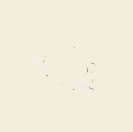 O=C(O)C(F)(F)F.O=C1CN(CCCNC(=O)C2CCN(c3nc4ccccc4n3Cc3ccc(F)cc3)CC2)CCN1